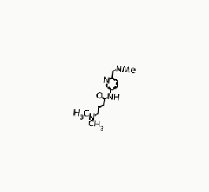 CNCc1ccc(NC(=O)/C=C/CN(C)C)cn1